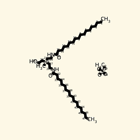 CCCCCCCCCCCCCCCCCC(=O)NCC[N+](C)(CCO)CCNC(=O)CCCCCCCCCCCCCCCCC.COS(=O)(=O)[O-]